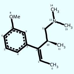 C/C=C(/c1cccc(OC)c1)[C@H](C)CN(C)C